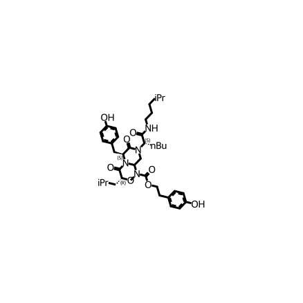 CCCC[C@@H](C(=O)NCCCC(C)C)N1CC2N(C(=O)OCCc3ccc(O)cc3)O[C@H](CC(C)C)C(=O)N2[C@@H](Cc2ccc(O)cc2)C1=O